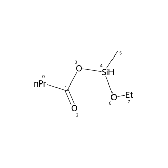 CCCC(=O)O[SiH](C)OCC